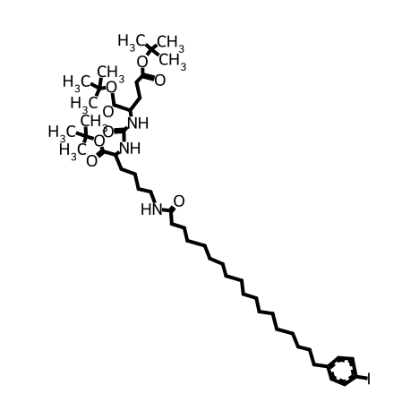 CC(C)(C)OC(=O)CCC(NC(=O)NC(CCCCNC(=O)CCCCCCCCCCCCCCCCCc1ccc(I)cc1)C(=O)OC(C)(C)C)C(=O)OC(C)(C)C